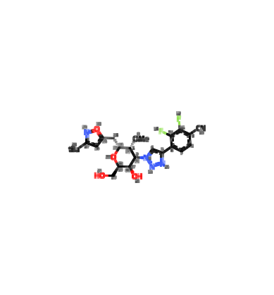 CO[C@@H]1[C@@H](n2cc(-c3ccc(C#N)c(F)c3F)nn2)[C@@H](O)[C@@H](CO)O[C@@H]1Cc1cc(C(C)(C)C)no1